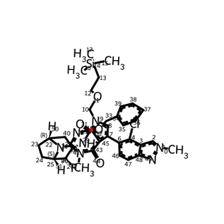 Cn1cc2c(Cl)c(-c3cn(COCC[Si](C)(C)C)c4nc(N5[C@@H]6CC[C@H]5[C@H](F)[C@@H](NC(=O)OCc5ccccc5)C6)n(C)c(=O)c34)ccc2n1